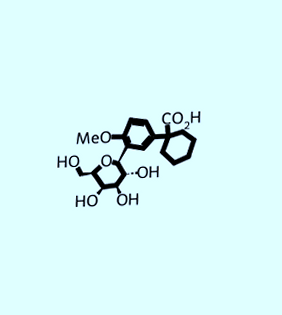 COc1ccc(C2(C(=O)O)CCCCC2)cc1[C@@H]1O[C@H](CO)[C@H](O)[C@H](O)[C@H]1O